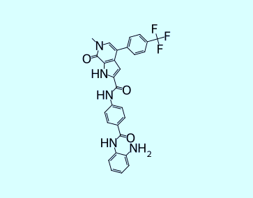 Cn1cc(-c2ccc(C(F)(F)F)cc2)c2cc(C(=O)Nc3ccc(C(=O)Nc4ccccc4N)cc3)[nH]c2c1=O